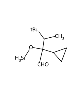 CC(C(C)(C)C)C(C=O)(O[SiH3])C1CC1